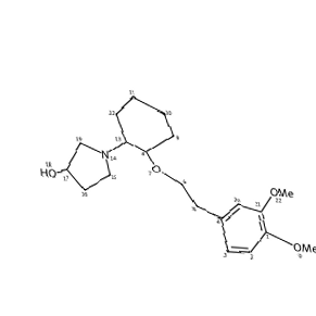 COc1ccc(CCOC2CCCCC2N2CCC(O)C2)cc1OC